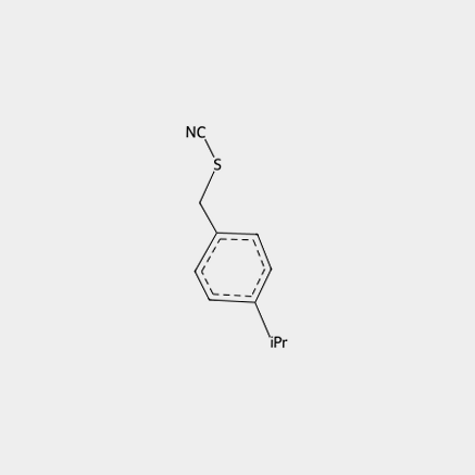 CC(C)c1ccc(CSC#N)cc1